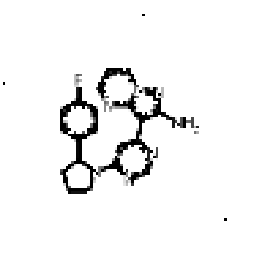 Nc1nn2cccnc2c1-c1cc(N2CCCC2c2ccc(F)cc2)ncn1